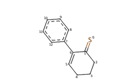 S=C1CCCC=C1c1ccccc1